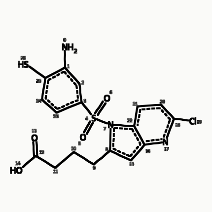 Nc1cc(S(=O)(=O)n2c(CCCC(=O)O)cc3nc(Cl)ccc32)ccc1S